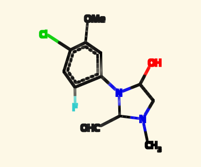 COc1cc(N2C(O)CN(C)C2C=O)c(F)cc1Cl